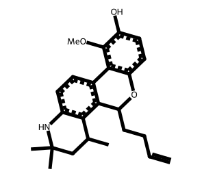 C=CCCC1Oc2ccc(O)c(OC)c2-c2ccc3c(c21)C(C)CC(C)(C)N3